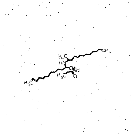 CCC(=O)O.CCCCCCCCCCCC(C)NC(C)CCCCCCCCCCC